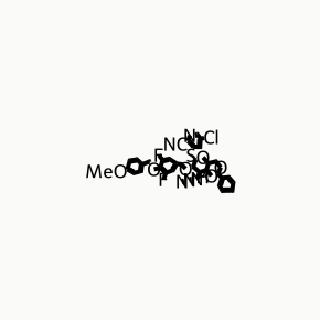 COc1ccc(COc2c(F)cc(COC3C(N=[N+]=[N-])[C@H]4OC(c5ccccc5)OCC4O[C@@H]3Sc3cc(Cl)cnc3C#N)cc2F)cc1